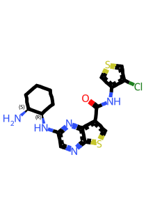 N[C@H]1CCCC[C@H]1Nc1cnc2scc(C(=O)Nc3cscc3Cl)c2n1